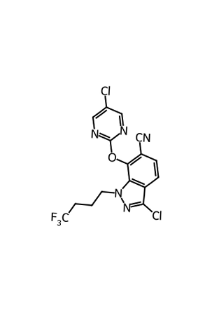 N#Cc1ccc2c(Cl)nn(CCCC(F)(F)F)c2c1Oc1ncc(Cl)cn1